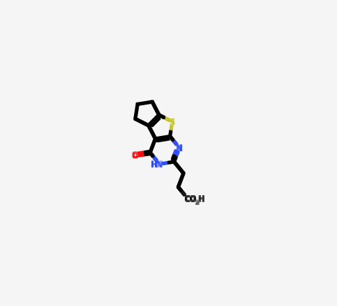 O=C(O)CCc1nc2sc3c(c2c(=O)[nH]1)CCC3